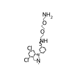 CN1Cc2c(Cl)cc(Cl)cc2[C@H](c2cccc(SNCCOCCOCCN)c2)C1